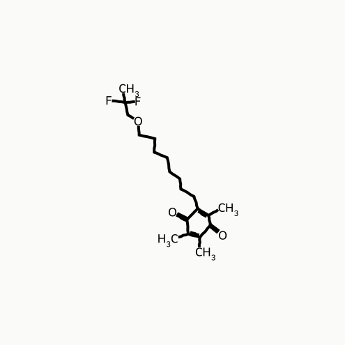 CC1=C(C)C(=O)C(CCCCCCCCOCC(C)(F)F)=C(C)C1=O